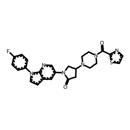 O=C(c1nccs1)N1CCN(C2CC(=O)N(c3cnc4c(ccn4-c4ccc(F)cc4)c3)C2)CC1